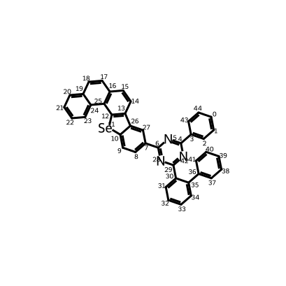 c1ccc(-c2nc(-c3ccc4[se]c5c(ccc6ccc7ccccc7c65)c4c3)nc(-c3ccccc3-c3ccccc3)n2)cc1